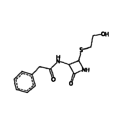 O=C(Cc1ccccc1)NC1C(=O)NC1SCCO